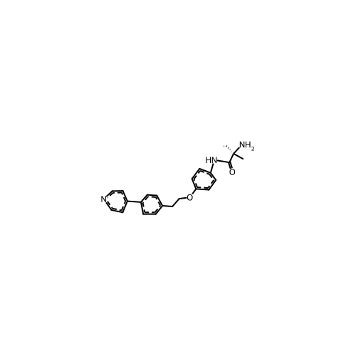 [CH2][C@@](C)(N)C(=O)Nc1ccc(OCCc2ccc(-c3ccncc3)cc2)cc1